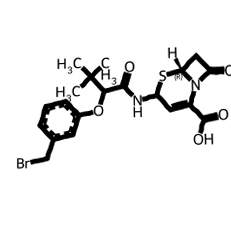 CC(C)(C)C(Oc1cccc(CBr)c1)C(=O)NC1C=C(C(=O)O)N2C(=O)C[C@H]2S1